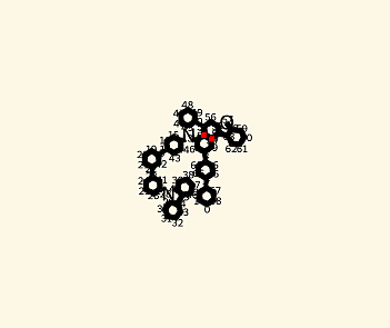 c1ccc(-c2ccc(-c3cccc(N(c4ccc(-c5cccc(-c6cccc(-n7c8ccccc8c8ccccc87)c6)c5)cc4)c4ccccc4-c4ccc5c(c4)oc4ccccc45)c3)cc2)cc1